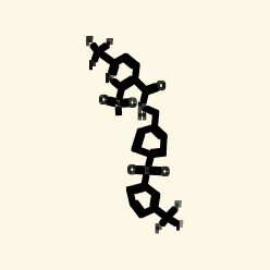 CS(=O)(=O)c1nc(C(F)(F)F)ccc1C(=O)NCc1ccc(S(=O)(=O)c2cccc(C(F)(F)F)c2)cc1